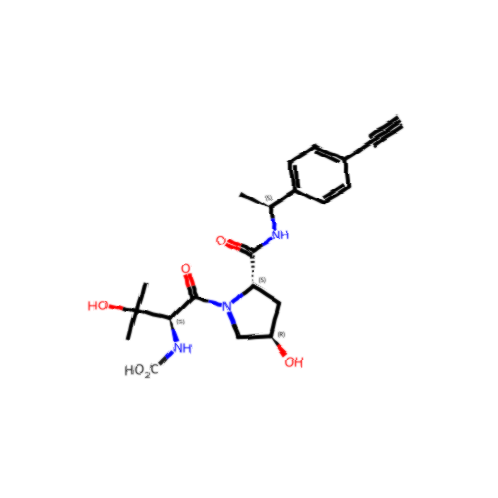 C#Cc1ccc([C@H](C)NC(=O)[C@@H]2C[C@@H](O)CN2C(=O)[C@@H](NC(=O)O)C(C)(C)O)cc1